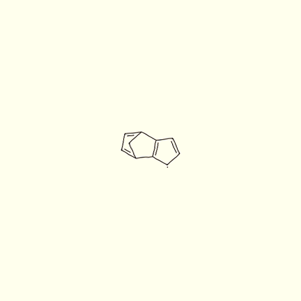 [CH]1C=CC2=C1C1=CC=C2C1